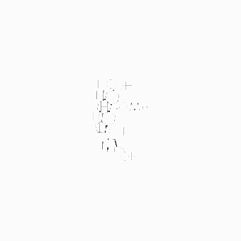 COC[C@]12CC[C@@](C)(O)C[C@H]1CC[C@H]1[C@@H]3CC[C@H](c4cc(CO)on4)[C@@]3(C)CC[C@@H]12